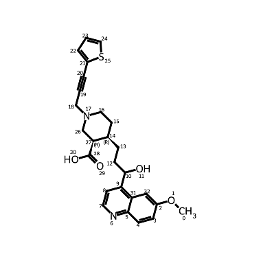 COc1ccc2nccc(C(O)CC[C@@H]3CCN(CC#Cc4cccs4)C[C@@H]3C(=O)O)c2c1